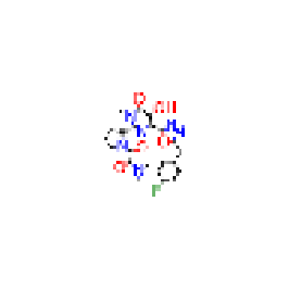 CN(C)C(=O)C(=O)N1CCC[C@H]1c1nc(-c2nnc(Cc3ccc(F)cc3)o2)c(O)c(=O)n1C